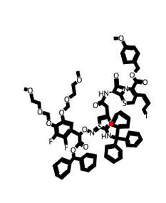 COCCOCOc1cc(C(ON=S2C=C(CC(=O)N[C@@H]3C(=O)N4C(C(=O)OCc5ccc(OC)cc5)=C(/C=C\CI)CSC34)N=C2NC(c2ccccc2)(c2ccccc2)c2ccccc2)C(=O)OC(c2ccccc2)c2ccccc2)c(F)c(F)c1OCOCCOC